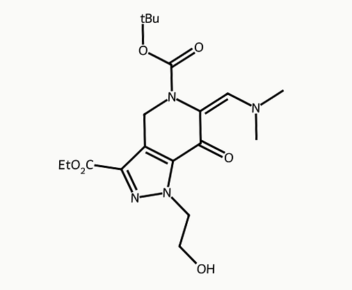 CCOC(=O)c1nn(CCO)c2c1CN(C(=O)OC(C)(C)C)/C(=C/N(C)C)C2=O